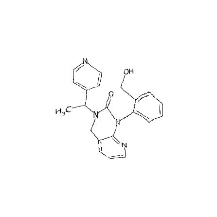 CC(c1ccncc1)N1Cc2cccnc2N(c2ccccc2CO)C1=O